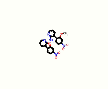 COc1cc([N+](=O)[O-])ccc1-c1cccnc1N.O=[N+]([O-])c1ccc2c(c1)oc1ncccc12